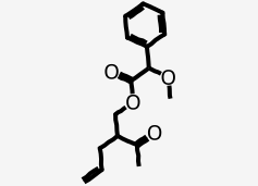 C=CCC(COC(=O)C(OC)c1ccccc1)C(C)=O